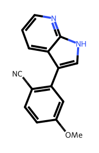 COc1ccc(C#N)c(-c2c[nH]c3ncccc23)c1